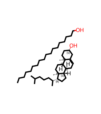 CC(C)CCCC(C)[C@H]1CC[C@H]2[C@@H]3CC=C4C[C@@H](O)CC[C@]4(C)[C@H]3CC[C@]12C.CCCCCCCCCCCCCCCCCCO